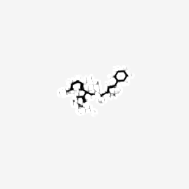 Cn1cc(C(C)(CNC(=O)c2cc(C3CCCCC3)on2)c2cccc(Cl)n2)cn1